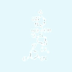 N#Cc1cc(Cl)cc(Oc2c(C(F)(F)F)ncn(C(O)(O)c3ccc(=O)[nH]n3)c2=O)c1